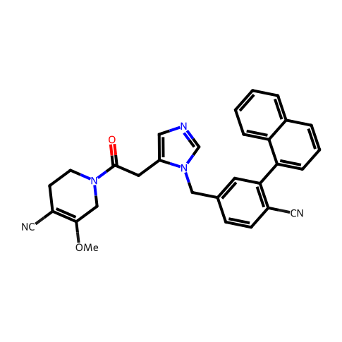 COC1=C(C#N)CCN(C(=O)Cc2cncn2Cc2ccc(C#N)c(-c3cccc4ccccc34)c2)C1